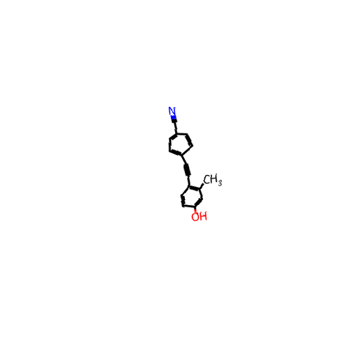 Cc1cc(O)ccc1C#Cc1ccc(C#N)cc1